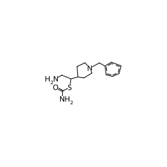 NCC(SC(N)=O)C1CCN(Cc2ccccc2)CC1